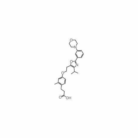 Cc1cc(OCCc2oc(-c3cccc(N4CCOCC4)c3)nc2C(C)C)ccc1CCC(=O)O